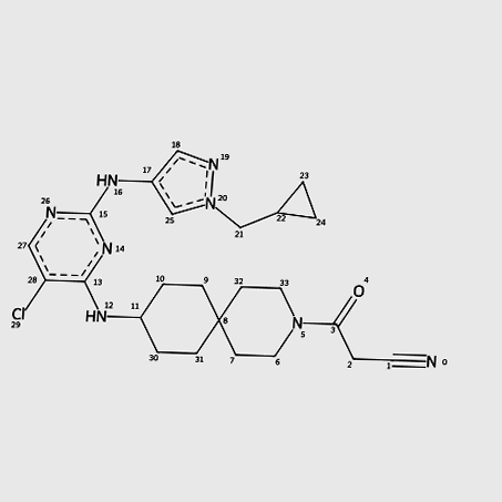 N#CCC(=O)N1CCC2(CCC(Nc3nc(Nc4cnn(CC5CC5)c4)ncc3Cl)CC2)CC1